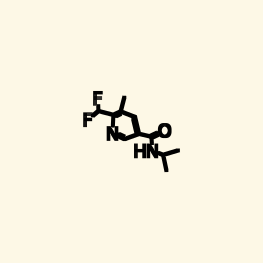 Cc1cc(C(=O)NC(C)C)cnc1C(F)F